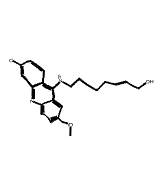 COc1ccc2nc3cc(Cl)ccc3c(NCCCCCCCO)c2c1